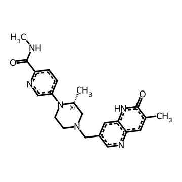 CNC(=O)c1ccc(N2CCN(Cc3cnc4cc(C)c(=O)[nH]c4c3)C[C@H]2C)cn1